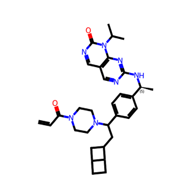 C=CC(=O)N1CCN(C(CC2CC3CCC32)c2ccc([C@H](C)Nc3ncc4cnc(=O)n(C(C)C)c4n3)cc2)CC1